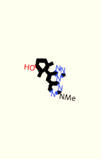 CNc1ncc2cc(-c3c(C)ccc(O)c3C)c3nncn3c2n1